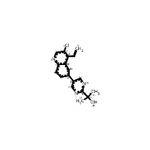 C=Cc1c(Cl)cnc2ccc(-c3cnc(C(C)(C)O)nc3)cc12